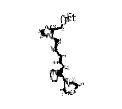 CCOCc1nccn1CCCCCC(=O)N1CCOCC1